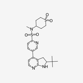 CN(C1CCS(=O)(=O)CC1)S(=O)(=O)c1ccc(-c2ccnc3c2CC(C(C)(C)C)N3)cn1